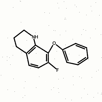 Fc1ccc2c(c1Oc1ccccc1)NCCC2